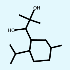 CC1CCC(C(C)C)C(C(O)C(C)(C)O)C1